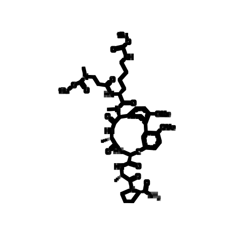 COc1ccc2cc1-c1cc(ccc1OC)[C@H](N(C)C(=O)[C@H](CCCCNC(=O)OC(C)(C)C)NC(=O)CCN(C)C(=O)OC(C)(C)C)C(=O)N[C@@H](C)C(=O)N[C@H](C(=O)N[C@@H](C)C(=O)N1CCC[C@H]1C(N)=O)C2